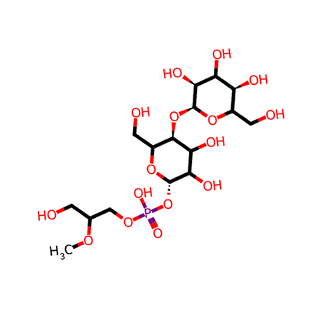 COC(CO)COP(=O)(O)O[C@@H]1OC(CO)[C@@H](O[C@@H]2OC(CO)[C@H](O)C(O)[C@@H]2O)C(O)C1O